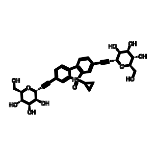 O=[SH]1(C2CC2)c2cc(C#C[C@H]3O[C@H](CO)[C@@H](O)[C@H](O)[C@@H]3O)ccc2-c2ccc(C#C[C@H]3O[C@H](CO)[C@@H](O)[C@H](O)[C@@H]3O)cc21